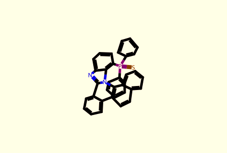 S=P(c1ccccc1)(c1ccccc1)c1cccc2nc3c4ccccc4c4ccc5ccccc5c4n3c12